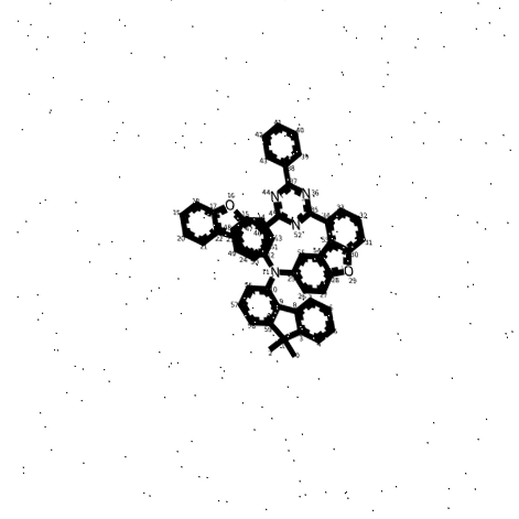 CC1(C)c2ccccc2-c2c(N(c3ccc4oc5ccccc5c4c3)c3ccc4oc5cccc(-c6nc(-c7ccccc7)nc(-c7ccccc7)n6)c5c4c3)cccc21